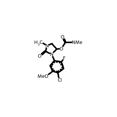 CNC(=O)OC1CN(C)C(=O)N1c1cc(OC)c(Cl)cc1F